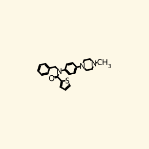 CN1CCN(c2ccc(N(Cc3ccccc3)C(=O)c3cccs3)cc2)CC1